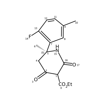 CCOC(=O)C1C(=O)C[C@@](C)(c2cc(C)ccc2F)NC1=O